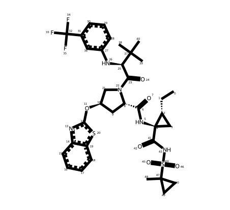 CC[C@@H]1C[C@]1(NC(=O)[C@@H]1C[C@@H](Oc2nc3ccccc3s2)CN1C(=O)[C@@H](Nc1cccc(C(F)(F)F)c1)C(C)(C)C)C(=O)NS(=O)(=O)C1(C)CC1